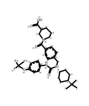 CC(C)(C)[C@H]1CC[C@H](N(Cc2ccc(C(=O)N3CCCC(C(=O)O)C3)cc2)C(=O)Nc2ccc(OC(F)(F)F)cc2)CC1